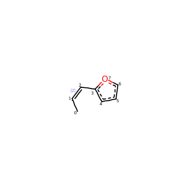 C/[C]=C\c1ccco1